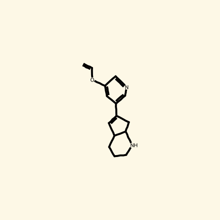 C=COc1cncc(C2=CC3CCCNC3C2)c1